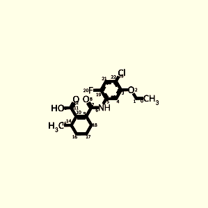 CCOc1cc(NC(=O)C2=C(C(=O)O)C(C)CCC2)c(F)cc1Cl